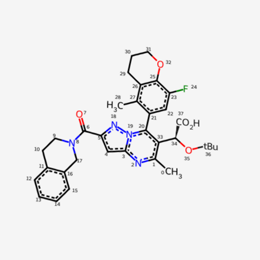 Cc1nc2cc(C(=O)N3CCc4ccccc4C3)nn2c(-c2cc(F)c3c(c2C)CCCO3)c1[C@H](OC(C)(C)C)C(=O)O